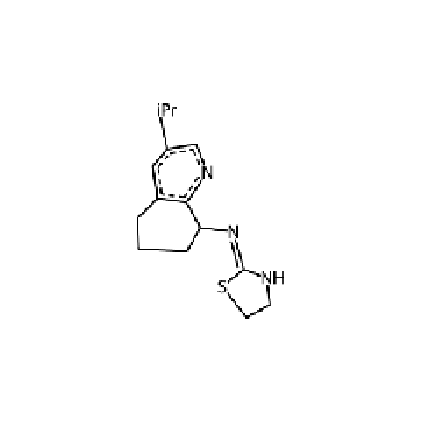 CC(C)c1cnc2c(c1)CCCC2/N=C1/NCCS1